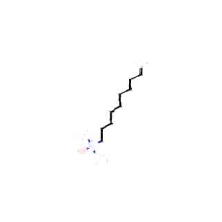 CC(C)CCCCCCCCC[N+](C)(C)[O-]